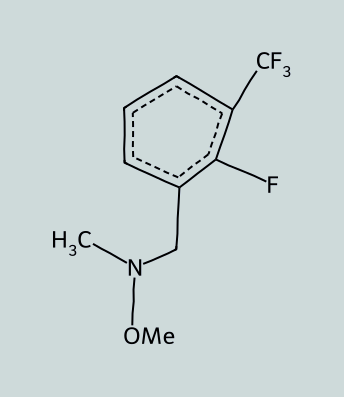 CON(C)Cc1cccc(C(F)(F)F)c1F